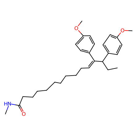 CCC(/C(=C/CCCCCCCCCC(=O)NC)c1ccc(OC)cc1)c1ccc(OC)cc1